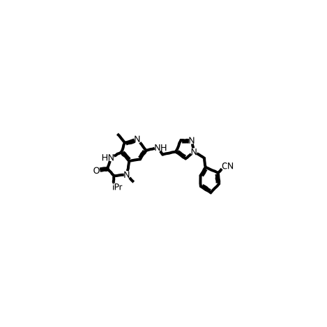 Cc1nc(NCc2cnn(Cc3ccccc3C#N)c2)cc2c1NC(=O)C(C(C)C)N2C